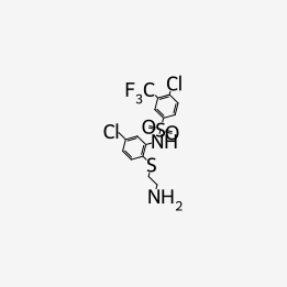 NCCSc1ccc(Cl)cc1NS(=O)(=O)c1ccc(Cl)c(C(F)(F)F)c1